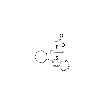 CC(=O)[O-].FC(F)(F)[s+]1c(C2CCCCCC2)cc2ccccc21